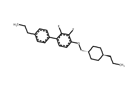 CCCc1ccc(-c2ccc(OC[C@H]3CC[C@H](CCC)CC3)c(F)c2F)cc1